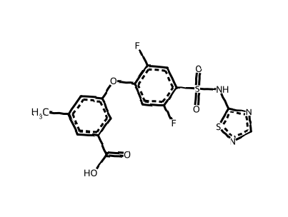 Cc1cc(Oc2cc(F)c(S(=O)(=O)Nc3ncns3)cc2F)cc(C(=O)O)c1